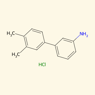 Cc1ccc(-c2cccc(N)c2)cc1C.Cl